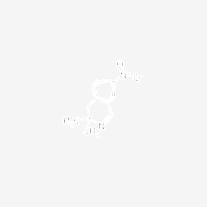 CC1(C)Cc2ccc([N+](=O)[O-])cc2C=N1